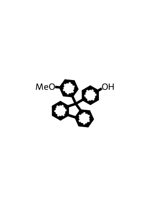 COc1cccc(C2(c3ccc(O)cc3)c3ccccc3-c3ccccc32)c1